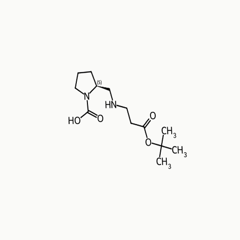 CC(C)(C)OC(=O)CCNC[C@@H]1CCCN1C(=O)O